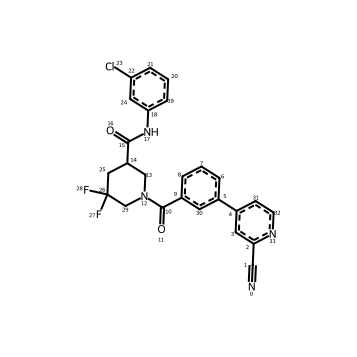 N#Cc1cc(-c2cccc(C(=O)N3CC(C(=O)Nc4cccc(Cl)c4)CC(F)(F)C3)c2)ccn1